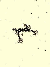 CO[Si](CCCNC(=O)c1ccc(C(C)(C)c2ccc(C(=O)O)c(C(=O)NCCC[Si](OC)(OC)OC)c2)cc1C(=O)O)(OC)OC